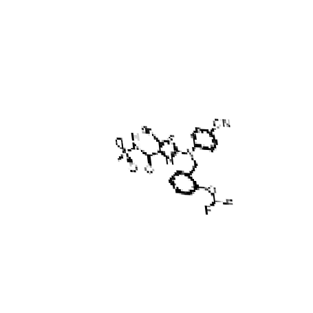 CS(=O)(=O)NC(=O)c1nc(N(Cc2ccccc2OC(F)F)c2ccc(C#N)cc2)sc1Br